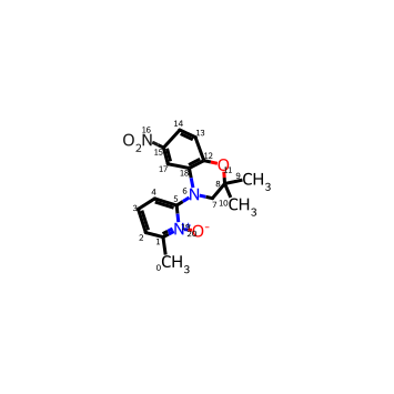 Cc1cccc(N2CC(C)(C)Oc3ccc([N+](=O)[O-])cc32)[n+]1[O-]